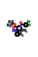 CC(C)OC(=O)C1=CN(C(=O)c2ccc(F)c(Br)c2)CC(C)(C)c2c1[nH]c1ccccc21